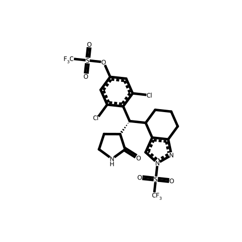 O=C1NCCC1[C@H](c1c(Cl)cc(OS(=O)(=O)C(F)(F)F)cc1Cl)C1CCCc2nn(S(=O)(=O)C(F)(F)F)cc21